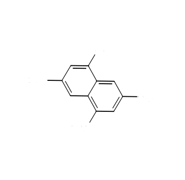 CCOC(=O)c1cc(C(=O)OCC)c2cc(C(=O)OCC)cc(C(=O)OCC)c2c1